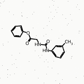 Cc1cccc(NC(=O)NCC(=O)Oc2ccccc2)c1